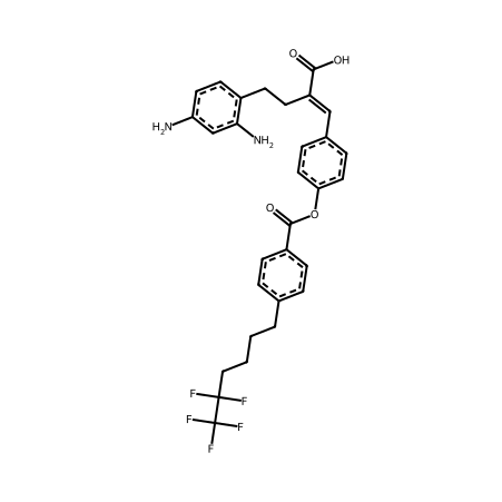 Nc1ccc(CC/C(=C\c2ccc(OC(=O)c3ccc(CCCCC(F)(F)C(F)(F)F)cc3)cc2)C(=O)O)c(N)c1